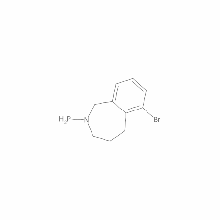 PN1CCCc2c(Br)cccc2C1